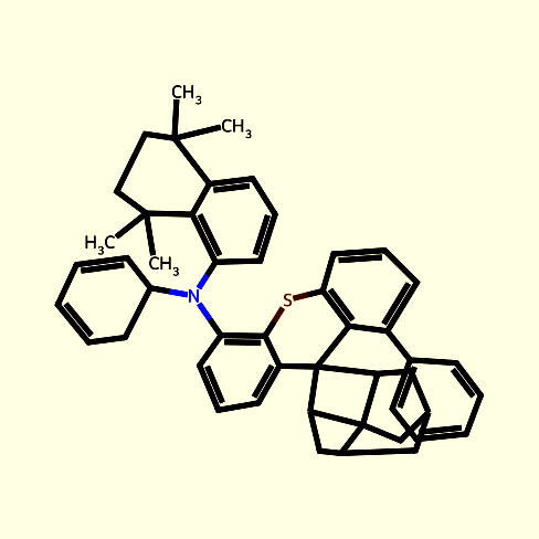 CC1(C)CCC(C)(C)c2c(N(c3cccc4c3Sc3cccc(-c5ccccc5)c3C43C4CC5CC6CC3C64C5)C3C=CC=CC3)cccc21